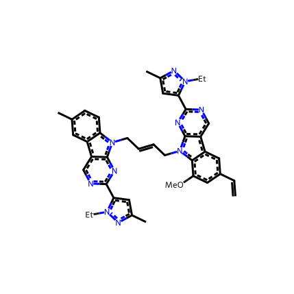 C=Cc1cc(OC)c2c(c1)c1cnc(-c3cc(C)nn3CC)nc1n2C/C=C/Cn1c2ccc(C)cc2c2cnc(-c3cc(C)nn3CC)nc21